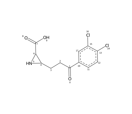 O=C(CCC1NC1C(=O)O)c1ccc(Cl)c(Cl)c1